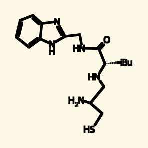 CCC(C)[C@H](NCC(N)CS)C(=O)NCc1nc2ccccc2[nH]1